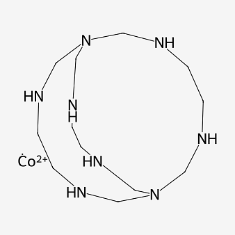 C1CNCN2CNCCNCN(CN1)CNCCNC2.[Co+2]